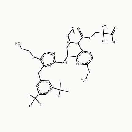 CC[C@@H]1C[C@H](Nc2ncc(OCCO)c(Cc3cc(C(F)(F)F)cc(C(F)(F)F)c3)n2)c2nc(OC)ccc2N1C(=O)OCC(C)(C)C(=O)O